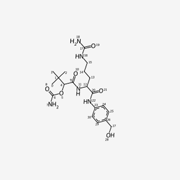 CC(C)(C)C(OC(N)=O)C(=O)NC(CCCNC(N)=O)C(=O)Nc1ccc(CO)cc1